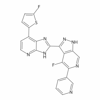 Fc1ccc(-c2ccnc3[nH]c(-c4n[nH]c5cnc(-c6cccnc6)c(F)c45)nc23)s1